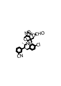 Cc1nonc1C(C)(COC=O)C(=O)N[C@@H](C)[C@@H](Cc1ccc(Cl)cc1)c1cccc(C#N)c1